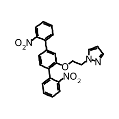 O=[N+]([O-])c1ccccc1-c1ccc(-c2ccccc2[N+](=O)[O-])c(OCCn2cccn2)c1